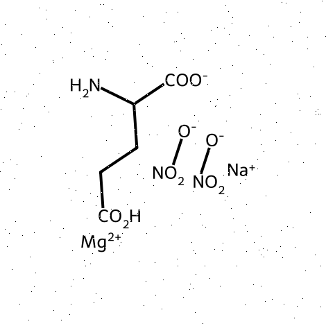 NC(CCC(=O)O)C(=O)[O-].O=[N+]([O-])[O-].O=[N+]([O-])[O-].[Mg+2].[Na+]